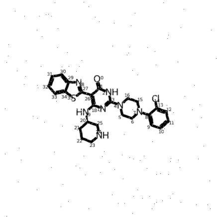 O=c1[nH]c(N2CCN(c3ccccc3Cl)CC2)nc(N[C@@H]2CCCNC2)c1-c1nc2ccccc2s1